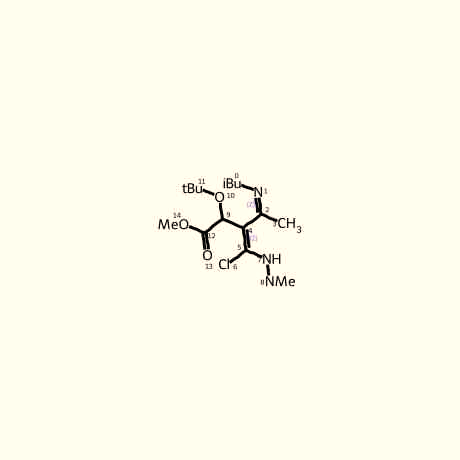 CCC(C)/N=C(C)\C(=C(\Cl)NNC)C(OC(C)(C)C)C(=O)OC